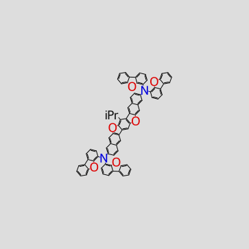 CC(C)c1c2oc3cc4cc(N(c5cccc6c5oc5ccccc56)c5cccc6c5oc5ccccc56)ccc4cc3c2cc2oc3cc4cc(N(c5cccc6c5oc5ccccc56)c5cccc6c5oc5ccccc56)ccc4cc3c12